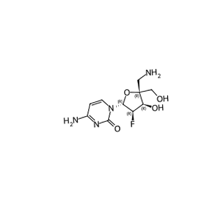 NC[C@]1(CO)O[C@@H](n2ccc(N)nc2=O)[C@H](F)[C@@H]1O